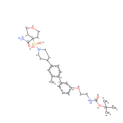 Cc1cc(C2CCN(S(=O)(=O)C3(C(N)=O)CCOCC3)CC2)ccc1-c1cccc(OCCNC(=O)OC(C)(C)C)c1